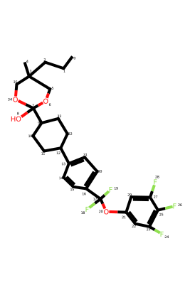 CCCC1(C)COC(O)(C2CCC(c3ccc(C(F)(F)Oc4cc(F)c(F)c(F)c4)cc3)CC2)OC1